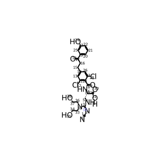 N#C/N=C(/NC[C@H](NC(=O)c1c(Cl)cc(CCC(=O)c2cccc(O)c2)cc1Cl)C(=O)O)N(CCO)CCO